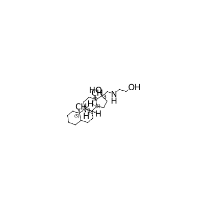 C[C@]12CCCCC1CC[C@@H]1[C@H]2CC[C@@]2(C)[C@H]1CCC2(O)CNCCO